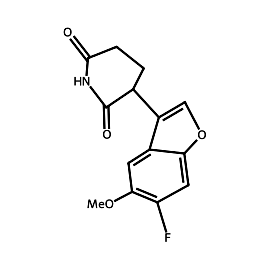 COc1cc2c(C3CCC(=O)NC3=O)coc2cc1F